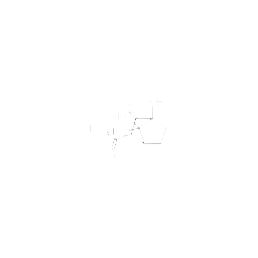 CC12CCC(C(C(=O)C(F)(F)F)C1=O)C2(C)C